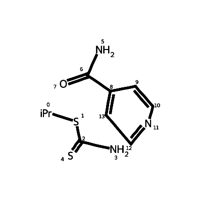 CC(C)SC(N)=S.NC(=O)c1ccncc1